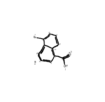 O=C(O)c1cccc2c(Br)cccc12.[Tl]